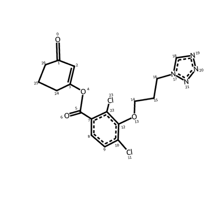 O=C1C=C(OC(=O)c2ccc(Cl)c(OCCCn3cnnn3)c2Cl)CCC1